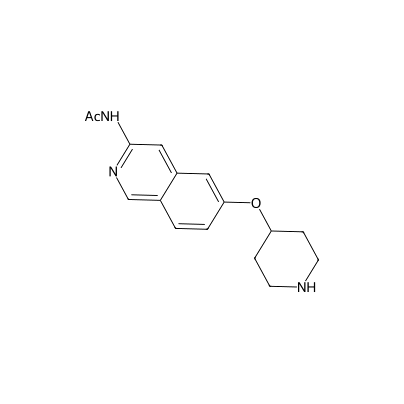 CC(=O)Nc1cc2cc(OC3CCNCC3)ccc2cn1